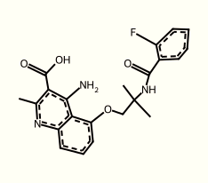 Cc1nc2cccc(OCC(C)(C)NC(=O)c3ccccc3F)c2c(N)c1C(=O)O